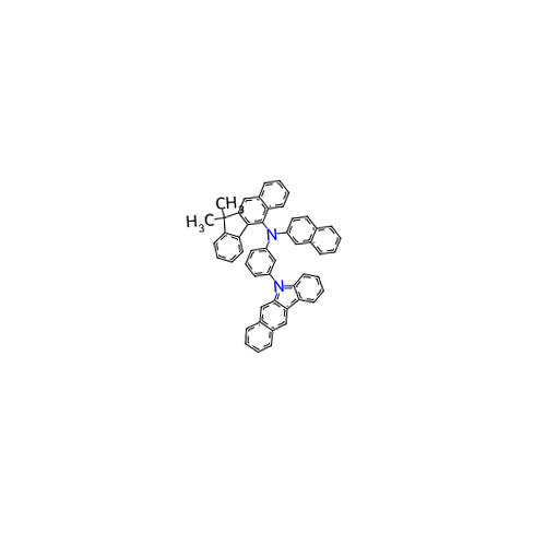 CC1(C)c2ccccc2-c2c1cc1ccccc1c2N(c1cccc(-n2c3ccccc3c3cc4ccccc4cc32)c1)c1ccc2ccccc2c1